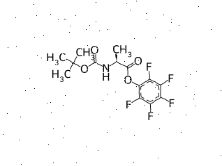 C[C@H](NC(=O)OC(C)(C)C)C(=O)Oc1c(F)c(F)c(F)c(F)c1F